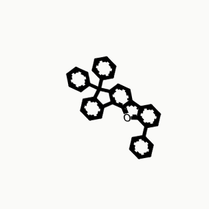 c1ccc(-c2cccc3c2oc2c4c(ccc23)C(c2ccccc2)(c2ccccc2)c2ccccc2-4)cc1